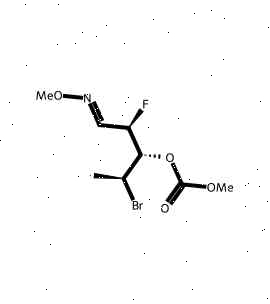 [CH2][C@H](Br)[C@@H](OC(=O)OC)[C@H](F)C=NOC